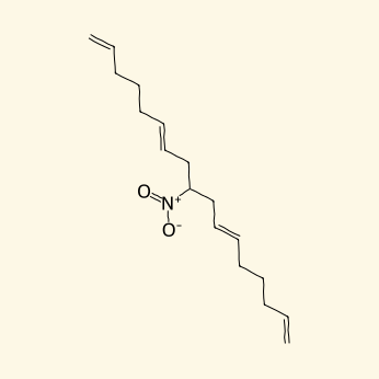 C=CCCCC=CCC(CC=CCCCC=C)[N+](=O)[O-]